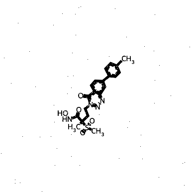 Cc1ccc(-c2ccc3c(=O)n(CCC(C)(C(=O)NO)S(C)(=O)=O)nnc3c2)cc1